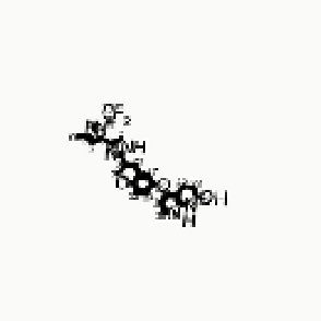 Cc1cc(-c2c[nH]c(C3COc4ccc(Oc5ccnc6c5CCC(O)N6)cc4C3)n2)n(CC(F)(F)F)n1